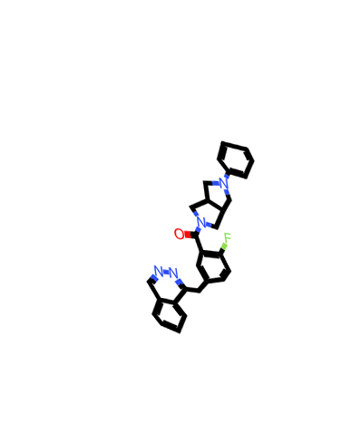 O=C(c1cc(Cc2nncc3ccccc23)ccc1F)N1CC2CN(c3ccccc3)CC2C1